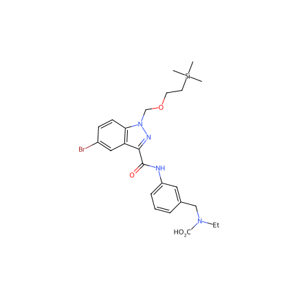 CCN(Cc1cccc(NC(=O)c2nn(COCC[Si](C)(C)C)c3ccc(Br)cc23)c1)C(=O)O